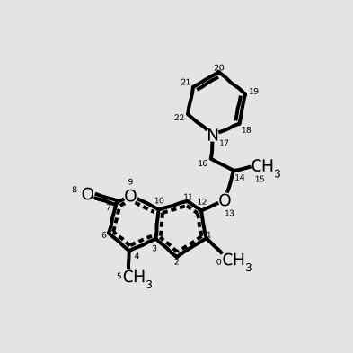 Cc1cc2c(C)cc(=O)oc2cc1OC(C)CN1C=CC=CC1